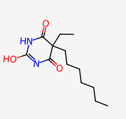 CCCCCCCC1(CC)C(=O)N=C(O)NC1=O